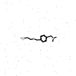 CN(C)Cc1ccc(CSCCN)cc1